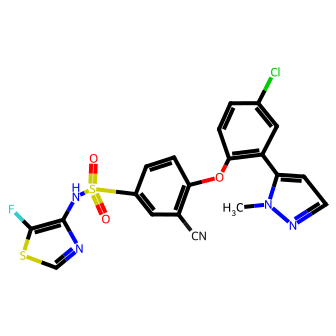 Cn1nccc1-c1cc(Cl)ccc1Oc1ccc(S(=O)(=O)Nc2ncsc2F)cc1C#N